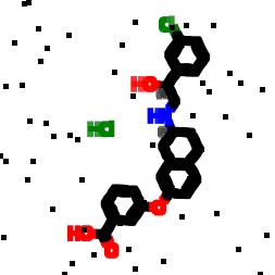 Cl.O=C(O)c1cccc(Oc2ccc3c(c2)C[C@@H](NC[C@@H](O)c2cccc(Cl)c2)CC3)c1